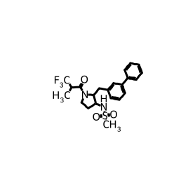 CC(C(=O)N1CCC(NS(C)(=O)=O)C1Cc1cccc(-c2ccccc2)c1)C(F)(F)F